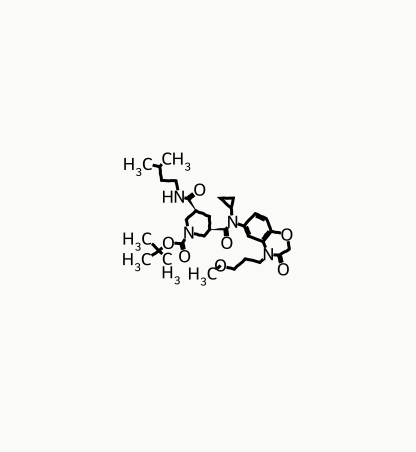 COCCCN1C(=O)COc2ccc(N(C(=O)[C@@H]3C[C@H](C(=O)NCCC(C)C)CN(C(=O)OC(C)(C)C)C3)C3CC3)cc21